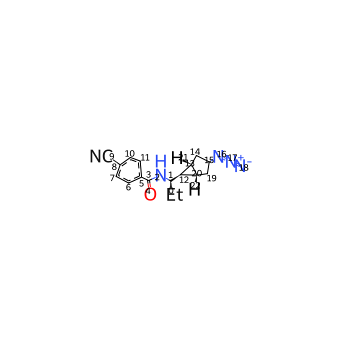 CC[C@@H](NC(=O)c1ccc(C#N)cc1)[C@H]1[C@@H]2CC(N=[N+]=[N-])C[C@@H]21